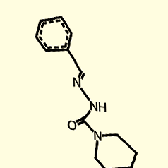 O=C(N/N=C/c1ccccc1)N1CCCCC1